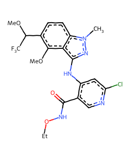 CCONC(=O)c1cnc(Cl)cc1Nc1nn(C)c2ccc(C(OC)C(F)(F)F)c(OC)c12